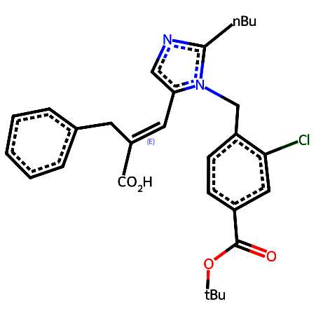 CCCCc1ncc(/C=C(\Cc2ccccc2)C(=O)O)n1Cc1ccc(C(=O)OC(C)(C)C)cc1Cl